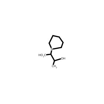 CC(O)C(C(=O)O)N1CCCCC1